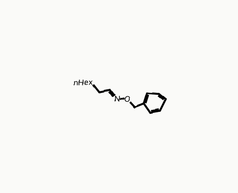 CCCCCCCC=NOCc1ccccc1